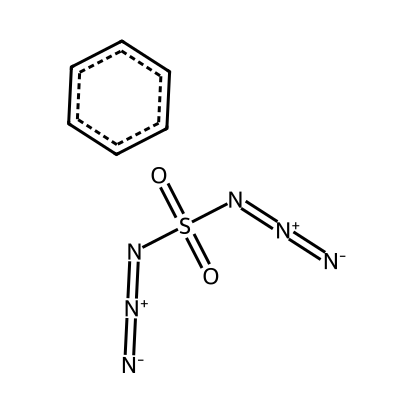 [N-]=[N+]=NS(=O)(=O)N=[N+]=[N-].c1ccccc1